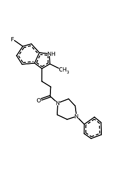 Cc1[nH]c2cc(F)ccc2c1CCC(=O)N1CCN(c2ccccc2)CC1